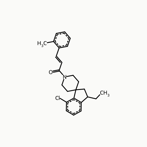 CCC1CC2(CCN(C(=O)/C=C/c3ccccc3C)CC2)c2c(Cl)cccc21